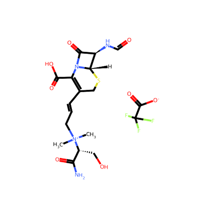 C[N+](C)(C/C=C/C1=C(C(=O)O)N2C(=O)[C@@H](NC=O)[C@@H]2SC1)[C@H](CO)C(N)=O.O=C([O-])C(F)(F)F